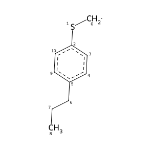 [CH2]Sc1ccc(CCC)cc1